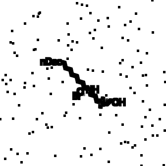 CCCCCCCCCCCCCCCCCC(=O)NCCC[N+](C)(C)CCO.[Br-]